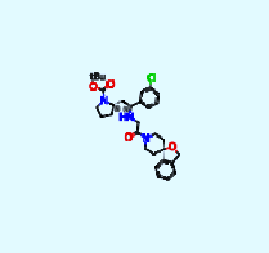 CC(C)(C)OC(=O)N1CCC[C@H]1C[C@H](NCC(=O)N1CCC2(CC1)OCc1ccccc12)c1cccc(Cl)c1